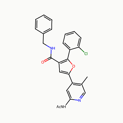 CC(=O)Nc1cc(-c2cc(C(=O)NCc3ccccc3)c(-c3ccccc3Cl)o2)c(C)cn1